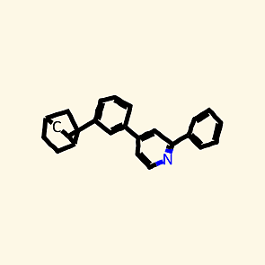 c1ccc(-c2cc(-c3cccc(C4CC5CCC4CC5)c3)ccn2)cc1